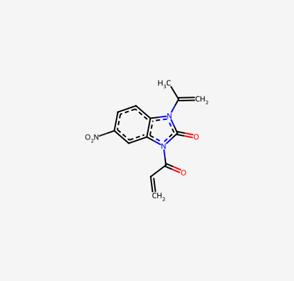 C=CC(=O)n1c(=O)n(C(=C)C)c2ccc([N+](=O)[O-])cc21